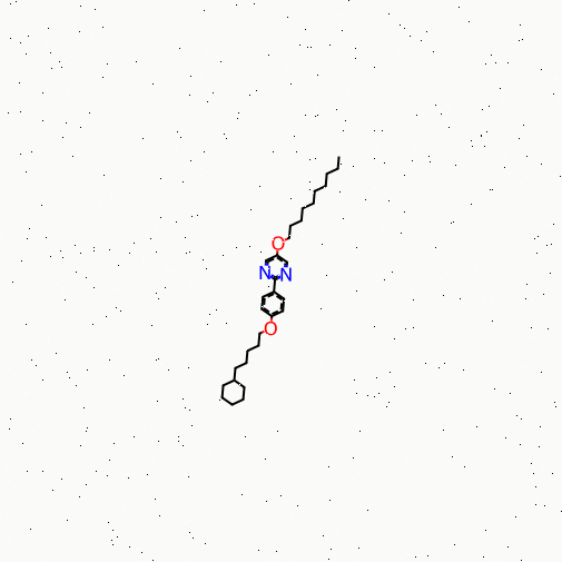 CCCCCCCCCCOc1cnc(-c2ccc(OCCCCCC3CCCCC3)cc2)nc1